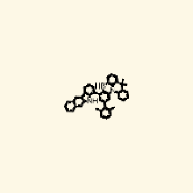 Cc1cccc(C)c1-c1cc(-c2cccc3c2[nH]c2cc4ccccc4cc23)c2c(c1)N1c3ccccc3C(C)(C)c3cccc(c31)B2